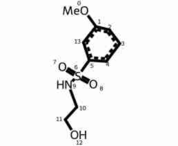 COc1cccc(S(=O)(=O)NCCO)c1